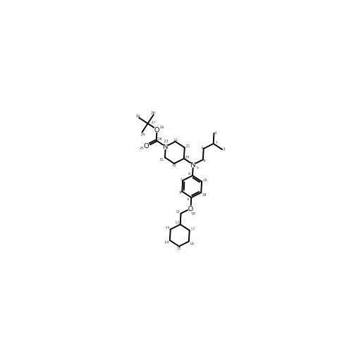 CC(C)CCN(c1ccc(OCC2CCCCC2)cc1)C1CCN(C(=O)OC(C)(C)C)CC1